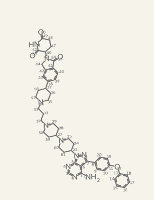 Nc1ncnc2c1c(-c1ccc(Oc3ccccc3)cc1)nn2C1CCN(C2CCN(CCCN3CCC(c4ccc5c(c4)CN(C4CCC(=O)NC4=O)C5=O)CC3)CC2)CC1